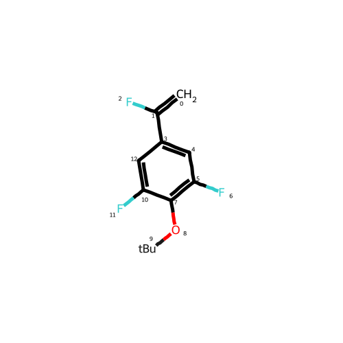 C=C(F)c1cc(F)c(OC(C)(C)C)c(F)c1